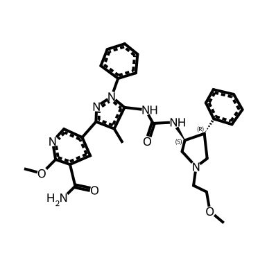 COCCN1C[C@@H](NC(=O)Nc2c(C)c(-c3cnc(OC)c(C(N)=O)c3)nn2-c2ccccc2)[C@H](c2ccccc2)C1